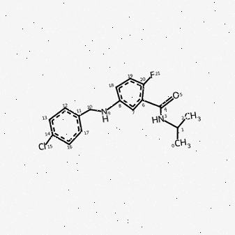 CC(C)NC(=O)c1cc(NCc2ccc(Cl)cc2)ccc1F